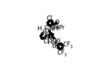 Cc1cc(Cl)cc(C(=O)NC(C)C)c1NC(=O)c1cc(CNS(=O)(=O)c2cc(C(F)(F)F)cc(C(F)(F)F)c2)nn1-c1ncccc1Cl